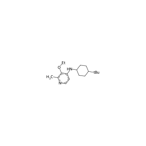 CCOc1c(NC2CCC(C(C)(C)C)CC2)ccnc1C